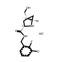 Cl.O=C(NCc1cccc(Cl)c1F)[C@@H]1C[C@@]2(CO)C[C@H]2N1